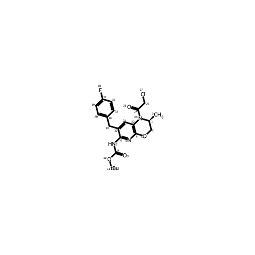 C[C@H]1COc2nc(NC(=O)OC(C)(C)C)c(Cc3ccc(F)cc3)cc2N1C(=O)CCl